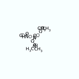 COc1ccc([C@H]2CC[C@H](CN(c3cccc(-c4cnn(C(C)C)c4)c3)C(=O)[C@H]3CC[C@H](NC(=O)C4CCOCC4)CC3)CC2)cc1C